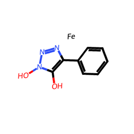 Oc1c(-c2ccccc2)nnn1O.[Fe]